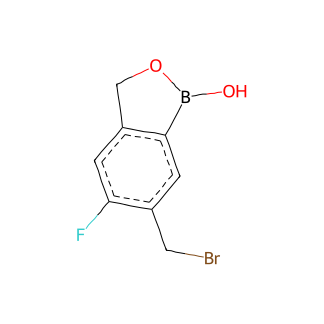 OB1OCc2cc(F)c(CBr)cc21